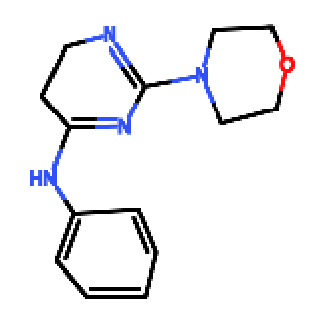 c1ccc(NC2=NC(N3CCOCC3)=NCC2)cc1